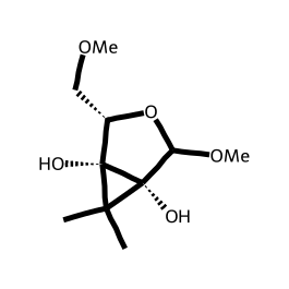 COC[C@@H]1OC(OC)[C@@]2(O)C(C)(C)[C@@]12O